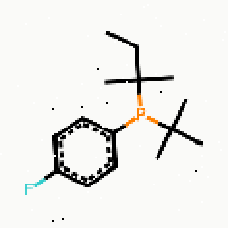 CCC(C)(C)P(c1ccc(F)cc1)C(C)(C)C